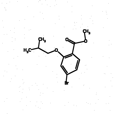 COC(=O)c1ccc(Br)cc1OCC(C)C